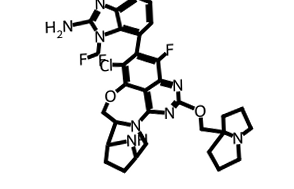 Nc1nc2cccc(-c3c(Cl)c4c5c(nc(OCC67CCCN6CCC7)nc5c3F)N3CC5CCC(N5)C3CO4)c2n1C(F)F